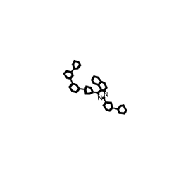 c1ccc(-c2cccc(-c3cccc(-c4ccc(-c5nc(-c6cccc(-c7ccccc7)c6)nc6ccc7ccccc7c56)cc4)c3)c2)cc1